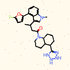 CC(CC(=O)N1CCCC2C(C3=NNNN3)CCCC21)c1cn(C)c2cccc(-c3ccc(F)o3)c12